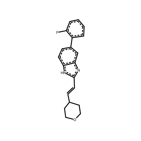 Fc1ccccc1-c1ccc2[nH]c(/C=C/C3CCOCC3)nc2c1